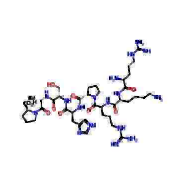 CC[C@H](C)[C@H](NC(=O)[C@H](CO)NC(=O)[C@H](Cc1c[nH]cn1)NC(=O)[C@@H]1CCCN1C(=O)[C@H](CCCNC(=N)N)NC(=O)[C@H](CCCCN)NC(=O)[C@@H](N)CCCNC(=N)N)C(=O)N1CCC[C@H]1C(=O)O